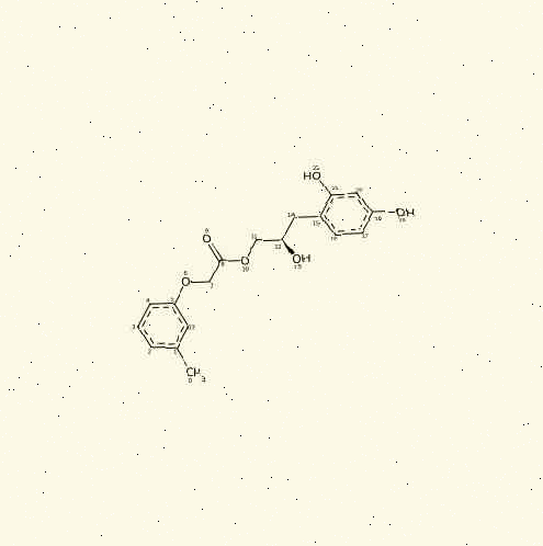 Cc1cccc(OCC(=O)OC[C@H](O)Cc2ccc(O)cc2O)c1